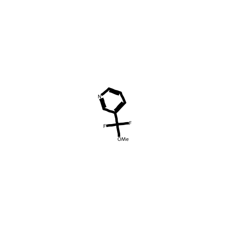 COC(F)(F)c1[c]nccc1